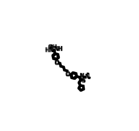 CN(C)c1nc(-c2ccc(OCCCCCOc3ccc(C(=N)NO)cc3)cc2)c(CC2CCCC2)s1